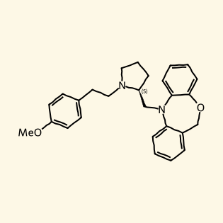 COc1ccc(CCN2CCC[C@H]2CN2c3ccccc3COc3ccccc32)cc1